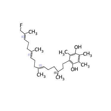 C/C(=C\CC/C(C)=C/CC/C(C)=C/CC[C@H](C)CCc1c(C)c(O)c(C)c(C)c1O)CF